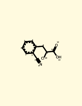 N#Cc1cc[c]cc1CC(Cl)C(=O)O